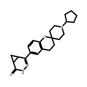 O=C1NN=C(c2ccc3c(c2)CCC2(CCN(C4CCCC4)CC2)O3)C2CC12